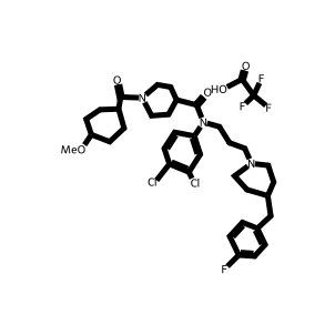 COC1CCC(C(=O)N2CCC(C(=O)N(CCCN3CCC(Cc4ccc(F)cc4)CC3)c3ccc(Cl)c(Cl)c3)CC2)CC1.O=C(O)C(F)(F)F